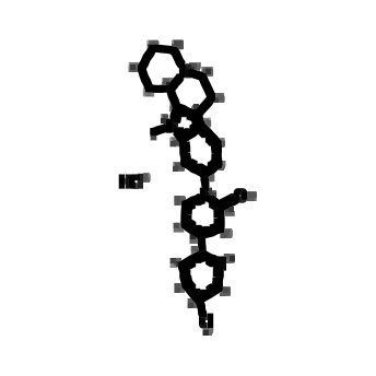 Cl.Cn1c2c(c3ccc(-n4ccc(-c5ccc(Cl)cn5)cc4=O)cc31)CCN1CCCCC21